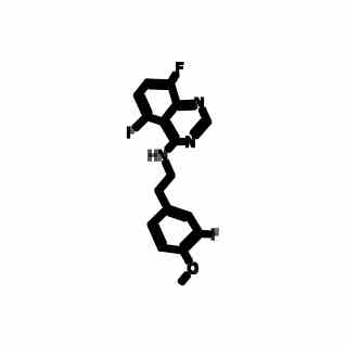 COc1ccc(CCNc2ncnc3c(F)ccc(F)c23)cc1F